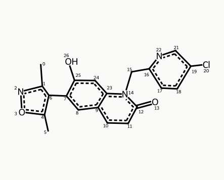 Cc1noc(C)c1-c1cc2ccc(=O)n(Cc3ccc(Cl)cn3)c2cc1O